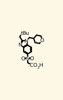 CC(C)(C)Cc1nc2cc(S(=O)(=O)CC(=O)O)ccc2n1CC1CCOCC1